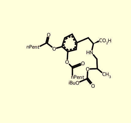 CCCCCC(=O)Oc1ccc(C[C@H](NCC(C)OC(=O)OCC(C)C)C(=O)O)cc1OC(=O)CCCCC